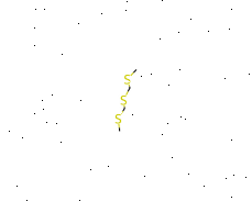 CSCSCSC